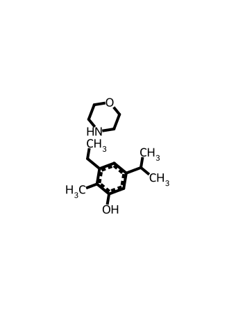 C1COCCN1.CCc1cc(C(C)C)cc(O)c1C